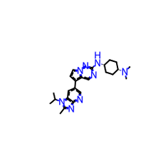 Cc1nc2ncc(-c3ccn4nc(N[C@H]5CC[C@@H](N(C)C)CC5)ncc34)cc2n1C(C)C